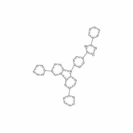 c1ccc(-c2ccc3c(c2)c2cc(-c4ccccc4)ccc2n3-c2ccc(-c3nc(-c4ccccc4)no3)cc2)cc1